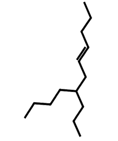 CCCC=CCC(CCC)CCCC